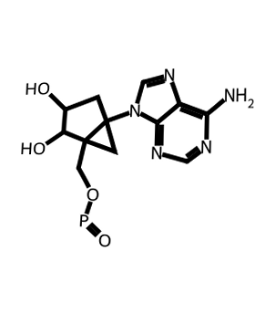 Nc1ncnc2c1ncn2C12CC(O)C(O)C1(COP=O)C2